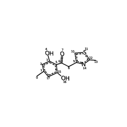 Cc1cc(O)c(C(=O)Cc2csc(C)n2)c(O)c1